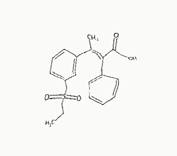 CCS(=O)(=O)c1cccc(/C(C)=C(/C(=O)O)c2ccccc2)c1